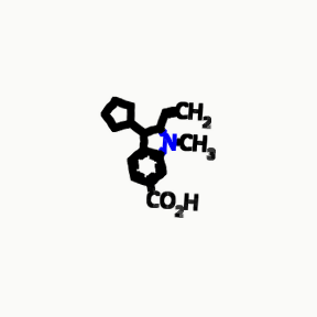 C=CC1C(C2CCCC2)c2ccc(C(=O)O)cc2N1C